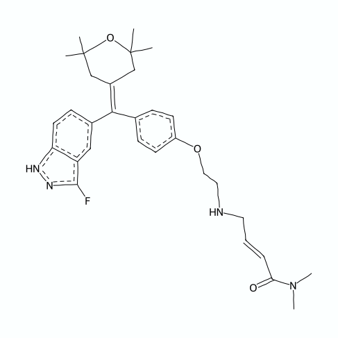 CN(C)C(=O)/C=C/CNCCOc1ccc(C(=C2CC(C)(C)OC(C)(C)C2)c2ccc3[nH]nc(F)c3c2)cc1